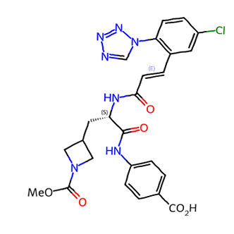 COC(=O)N1CC(C[C@H](NC(=O)/C=C/c2cc(Cl)ccc2-n2cnnn2)C(=O)Nc2ccc(C(=O)O)cc2)C1